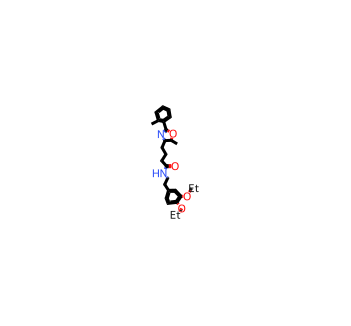 CCOc1ccc(CCNC(=O)CCCC2N=C(c3ccccc3C)OC2C)cc1OCC